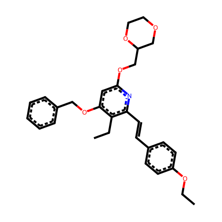 CCOc1ccc(/C=C/c2nc(OCC3COCCO3)cc(OCc3ccccc3)c2CC)cc1